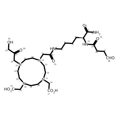 NC(=O)[C@H](CCCCNC(=O)CN1CCN(CC(=O)O)CCN(CC(=O)O)CCN(CC(=O)CO)CC1)NC(=O)CCC=O